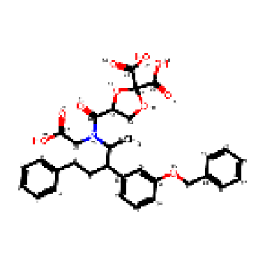 CC(C(CCc1ccccc1)c1cccc(OCc2ccccc2)c1)N(CC(=O)O)C(=O)C1COC(C(=O)O)(C(=O)O)O1